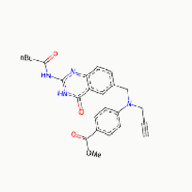 C#CCN(Cc1ccc2nc(NC(=O)CCCC)[nH]c(=O)c2c1)c1ccc(C(=O)OC)cc1